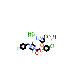 C[C@@H]1CN(Cc2ccc(F)cc2)[C@@H](C)CN1C(=O)COc1ccc(Cl)cc1O[C@@H]1CN[C@H](C(=O)O)C1.Cl.Cl